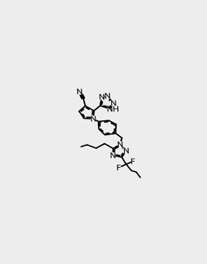 CCCCc1nc(C(F)(F)CCC)nn1Cc1ccc(-n2ccc(C#N)c2-c2nnn[nH]2)cc1